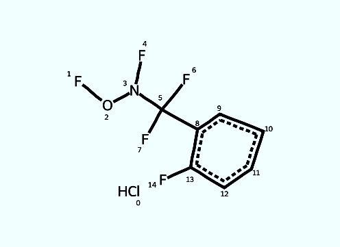 Cl.FON(F)C(F)(F)c1ccccc1F